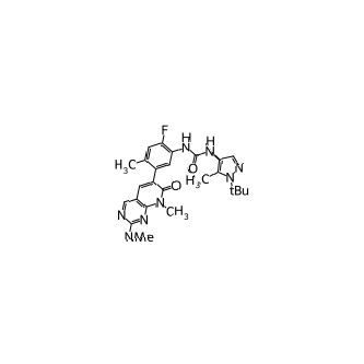 CNc1ncc2cc(-c3cc(NC(=O)Nc4cnn(C(C)(C)C)c4C)c(F)cc3C)c(=O)n(C)c2n1